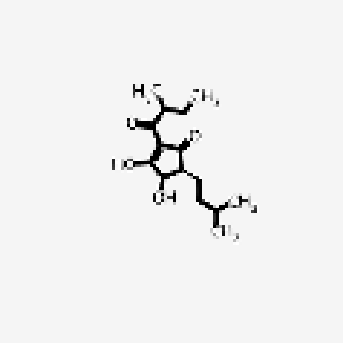 CCC(C)C(=O)C1=C(O)C(O)[C@H](CCC(C)C)C1=O